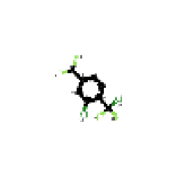 FC(F)c1ccc(C(F)(F)Cl)c(Cl)c1